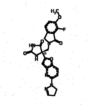 COc1ccc2c(c1F)C(=O)N(C[C@@]1(c3cc4nc(N5CCC=N5)ccc4o3)NC(=O)NC1=O)C2